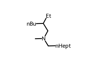 CCCCCCCCN(C)CC(CC)CCCC